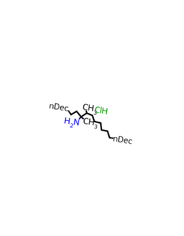 CCCCCCCCCCCCCCCCC(C)C(C)(N)CCCCCCCCCCCC.Cl